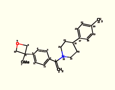 C=C(c1ccc(C2(OC)COC2)cc1)N1CCC(c2ccc(C(F)(F)F)cc2)CC1